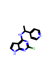 CC(Nc1nc(Cl)nc2[nH]ccc12)c1ccncc1